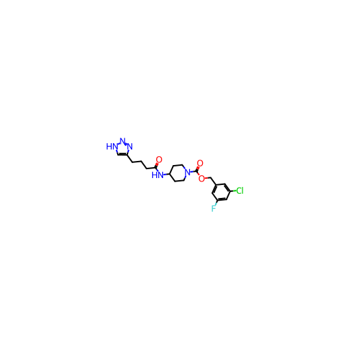 O=C(CCCc1c[nH]nn1)NC1CCN(C(=O)OCc2cc(F)cc(Cl)c2)CC1